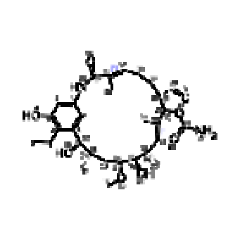 CCc1c(O)cc2cc1[C@H](O)[C@@H](C)C[C@H](OC)[C@H](O)[C@@H](C)/C=C(\C)[C@H](OC(N)=O)[C@@H](C=O)CC/C=C(\C)C(=O)N2